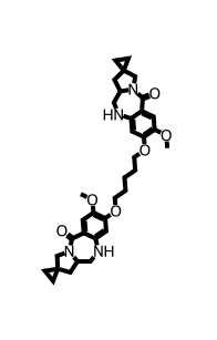 COc1cc2c(cc1OCCCCCOc1cc3c(cc1OC)C(=O)N1CC4(CC4)CC1CN3)NCC1CC3(CC3)CN1C2=O